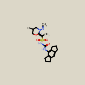 C=NN1CC(CC)CO/C1=C(/C)S(=O)(=O)NC(=O)Nc1c2c(cc3c1CCC3)CCC2